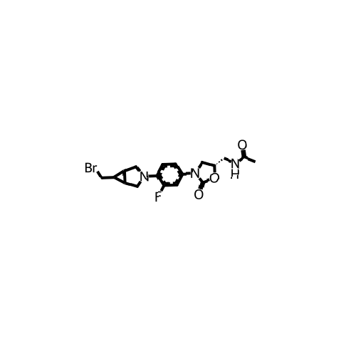 CC(=O)NC[C@H]1CN(c2ccc(N3CC4C(CBr)C4C3)c(F)c2)C(=O)O1